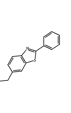 CC(C)Cc1ccc2nc(-c3ccccc3)sc2c1